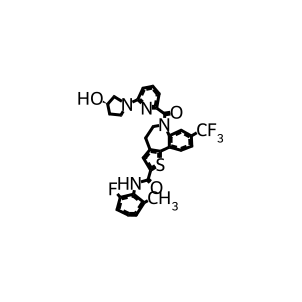 Cc1cccc(F)c1NC(=O)c1cc2c(s1)-c1ccc(C(F)(F)F)cc1N(C(=O)c1cccc(N3CC[C@H](O)C3)n1)CC2